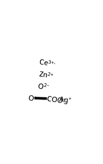 O=C([O-])[O-].[Ag+].[Ce+3].[O-2].[Zn+2]